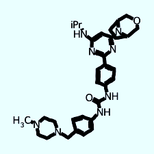 CC(C)Nc1cc(N2C3CCC2COC3)nc(-c2ccc(NC(=O)Nc3ccc(CN4CCN(C)CC4)cc3)cc2)n1